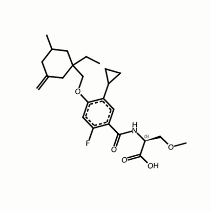 C=C1CC(C)CC(CC)(COc2cc(F)c(C(=O)N[C@@H](COC)C(=O)O)cc2C2CC2)C1